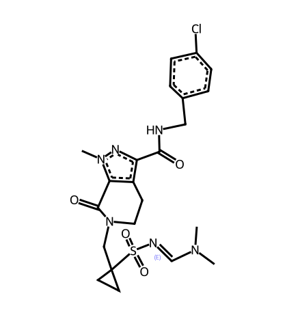 CN(C)/C=N/S(=O)(=O)C1(CN2CCc3c(C(=O)NCc4ccc(Cl)cc4)nn(C)c3C2=O)CC1